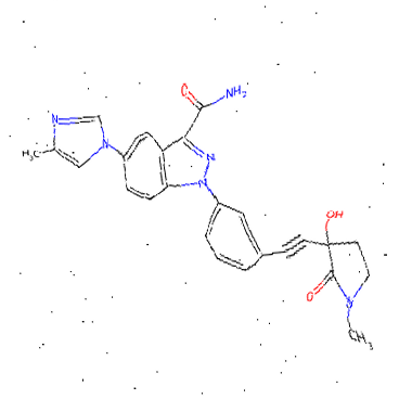 Cc1cn(-c2ccc3c(c2)c(C(N)=O)nn3-c2cccc(C#CC3(O)CCN(C)C3=O)c2)cn1